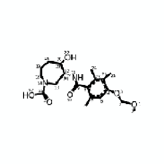 COCOc1cc(C)c(C(=O)N[C@@H]2CN(C(=O)O)CCC[C@H]2O)c(C)c1C